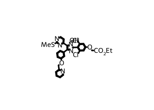 CCOC(=O)COc1cc(Cl)c(-c2nc(-c3cccc(OCc4ccccn4)c3)c(-c3ccnc(SC)n3)n2O)c(Cl)c1